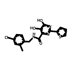 Cc1cc(Cl)ccc1CNC(=O)c1nc(-c2cccs2)nc(O)c1O